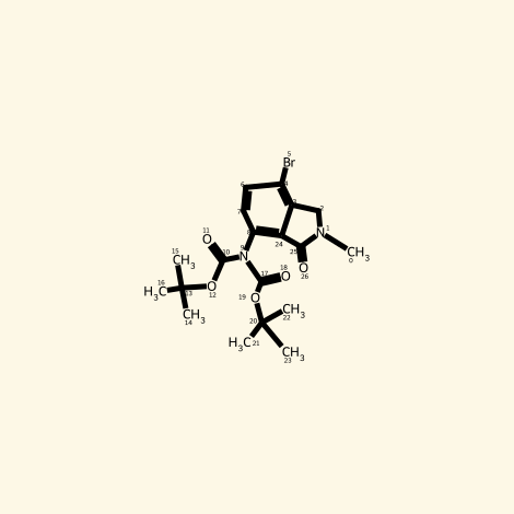 CN1Cc2c(Br)ccc(N(C(=O)OC(C)(C)C)C(=O)OC(C)(C)C)c2C1=O